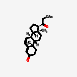 CC(=O)OCC(=O)[C@H]1CC[C@H]2[C@@H]3C=CC4=CC(=O)CC[C@]4(C)[C@H]3CC[C@]12C